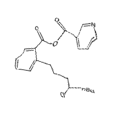 CCCCC(Cl)CCCc1ccccc1C(=O)OC(=O)c1cccnc1